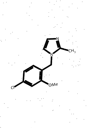 COc1cc(Cl)ccc1Cn1ccnc1C